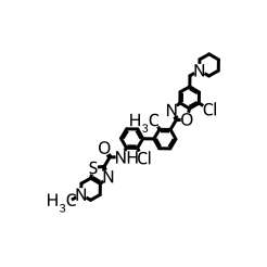 Cc1c(-c2nc3cc(CN4CCCCC4)cc(Cl)c3o2)cccc1-c1cccc(NC(=O)c2nc3c(s2)CN(C)CC3)c1Cl